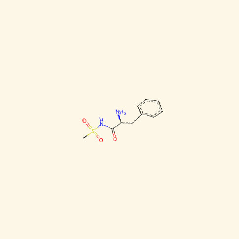 CS(=O)(=O)NC(=O)[C@@H](N)Cc1ccccc1